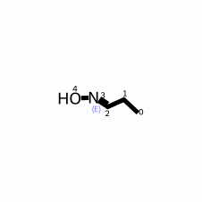 CC/C=N/O